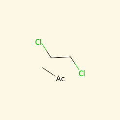 CC(C)=O.ClCCCl